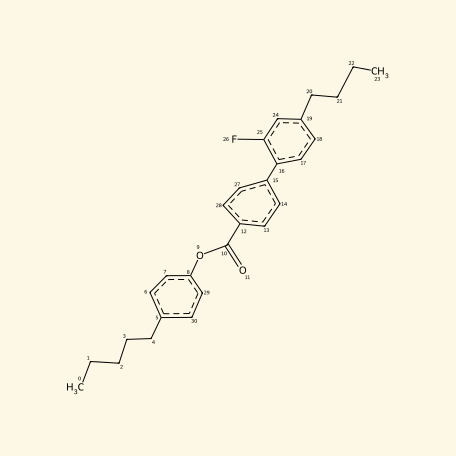 CCCCCc1ccc(OC(=O)c2ccc(-c3ccc(CCCC)cc3F)cc2)cc1